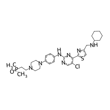 CP(C)(=O)CCN1CCN(c2ccc(Nc3ncc(Cl)c(-c4nc(CNC5CCCCC5)cs4)n3)cc2)CC1